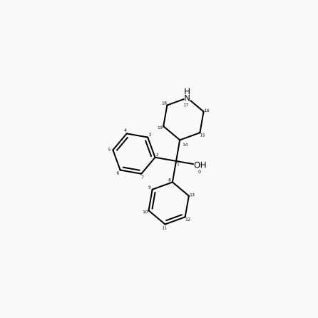 OC(c1ccccc1)(C1C=CC=CC1)C1CCNCC1